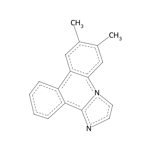 Cc1cc2c3ccccc3c3nccn3c2cc1C